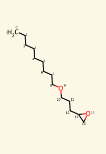 [CH2]CCCCCCCCOCCCC1CO1